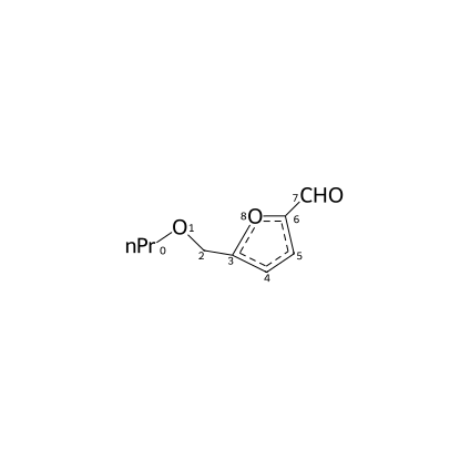 CCCOCc1ccc(C=O)o1